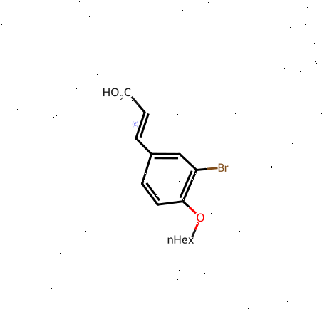 CCCCCCOc1ccc(/C=C/C(=O)O)cc1Br